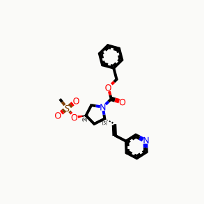 CS(=O)(=O)O[C@@H]1C[C@@H](C=Cc2cccnc2)N(C(=O)OCc2ccccc2)C1